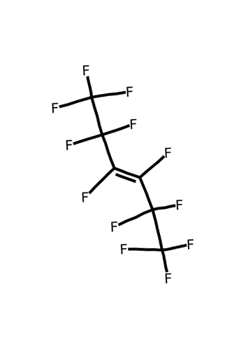 FC(=C(F)C(F)(F)C(F)(F)F)C(F)(F)C(F)(F)F